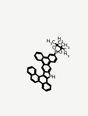 CC1(C)OB(c2ccc3c(c2)c2ccccc2c2cc4c(cc32)[pH]c2c3ccccc3c3ccc5ccccc5c3c42)OC1(C)C